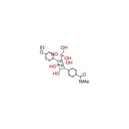 CCOc1ccc(C2[C@]3(O)C(O)C(c4ccc(C(=O)NC)cc4)[C@]3(O)[C@]2(O)[C@H](O)CO)cc1